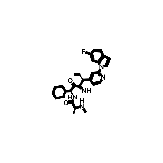 CC[C@H](C(=N)C(=O)[C@@H](NC(=O)[C@H](C)NC)C1CCCCC1)c1ccnc(-n2ccc3ccc(F)cc32)c1